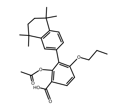 CCCOc1ccc(C(=O)O)c(OC(C)=O)c1-c1ccc2c(c1)C(C)(C)CCC2(C)C